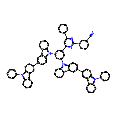 N#Cc1cccc(-c2nc(-c3ccccc3)cc(-c3cc(-n4c5ccccc5c5cc(-c6ccc7c(c6)c6ccccc6n7-c6ccccc6)ccc54)cc(-n4c5ccccc5c5cc(-c6ccc7c(c6)c6ccccc6n7-c6ccccc6)ccc54)c3)n2)c1